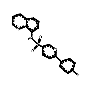 O=S(=O)(Nc1cccc2cccnc12)c1ccc(-c2ccc(F)cc2)nc1